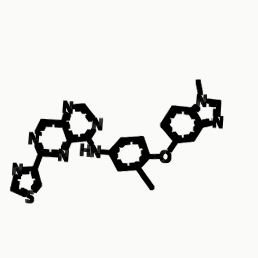 Cc1cc(Nc2ncnc3cnc(-c4cscn4)nc23)ccc1Oc1ccc2c(c1)ncn2C